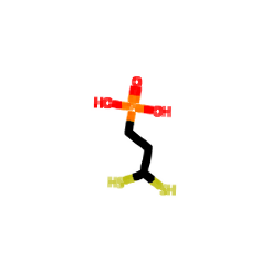 O=P(O)(O)CCC(S)S